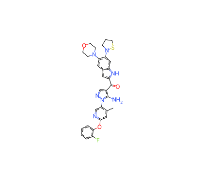 Cc1cc(Oc2ccccc2F)ncc1-n1ncc(C(=O)c2cc3cc(N4CCOCC4)c(N4CCCS4)cc3[nH]2)c1N